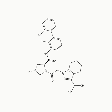 NC(O)c1nn(CC(=O)N2C[C@H](F)C[C@H]2C(=O)Nc2cccc(-c3ccccc3Cl)c2F)c2c1CCCC2